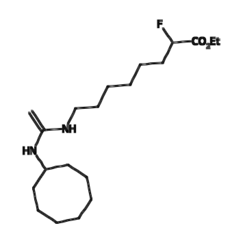 C=C(NCCCCCCC(F)C(=O)OCC)NC1CCCCCCC1